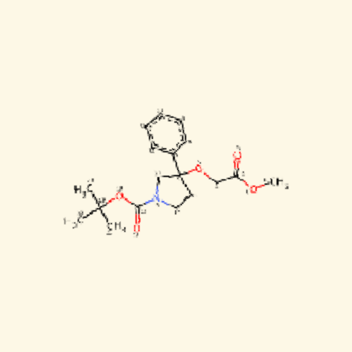 COC(=O)COC1(c2ccccc2)CCN(C(=O)OC(C)(C)C)C1